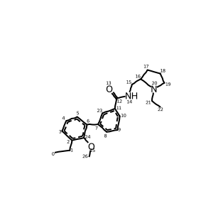 CCc1cccc(-c2cccc(C(=O)NCC3CCCN3CC)c2)c1OC